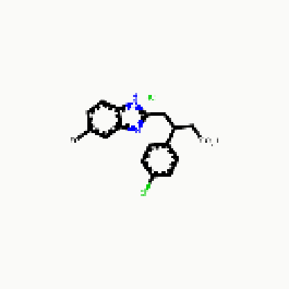 CCc1ccc2[nH]c(CC(CC(=O)O)c3ccc(Cl)cc3)nc2c1.Cl